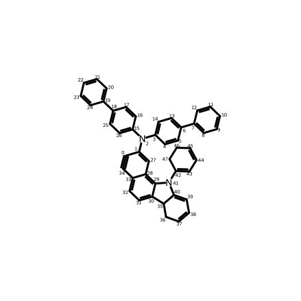 c1c(N(c2ccc(-c3ccccc3)cc2)c2ccc(-c3ccccc3)cc2)cc2c3c(ccc2c#1)C1CC=CC=C1N3C1=CC=CCC1